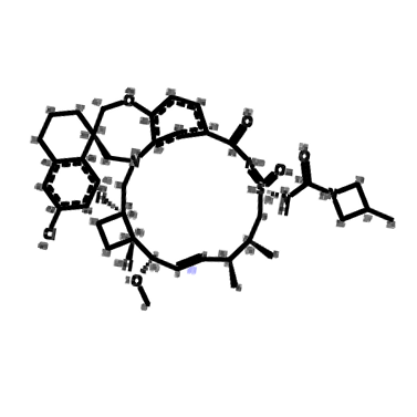 CO[C@H]1/C=C/[C@H](C)[C@H](C)C[S@@](=O)(NC(=O)N2CC(C)C2)=NC(=O)c2ccc3c(c2)N(C[C@@H]2CC[C@H]21)C[C@@]1(CCCc2cc(Cl)ccc21)CO3